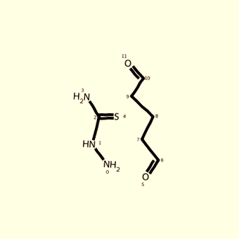 NNC(N)=S.O=CCCCC=O